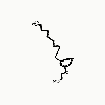 OCCCCCCCCc1cccc(OCCO)c1